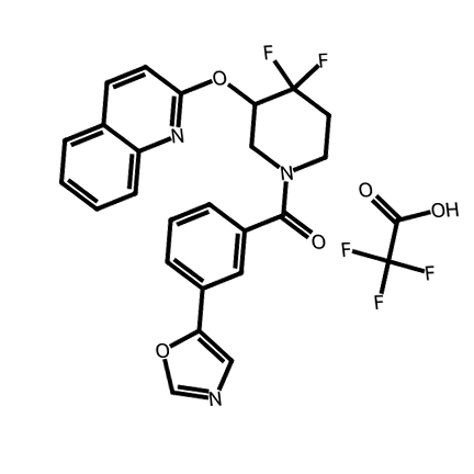 O=C(O)C(F)(F)F.O=C(c1cccc(-c2cnco2)c1)N1CCC(F)(F)C(Oc2ccc3ccccc3n2)C1